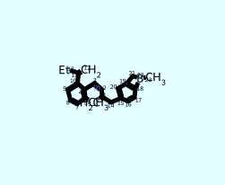 C=C(/C=C\c1c(C)cccc1C(=C)CC)Cc1ccc2c(c1)CB2C